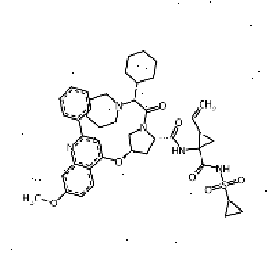 C=CC1CC1(NC(=O)[C@@H]1C[C@@H](Oc2cc(-c3ccccc3)nc3cc(OC)ccc23)CN1C(=O)C(C1CCCCC1)N1CCCCC1)C(=O)NS(=O)(=O)C1CC1